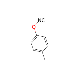 [C-]#[N+]Oc1ccc(C)cc1